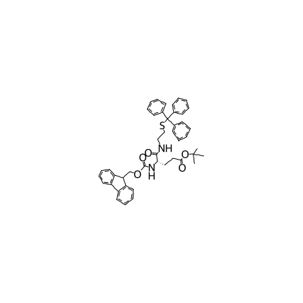 CC(C)(C)OC(=O)CC[C@H](NC(=O)OCC1c2ccccc2-c2ccccc21)C(=O)NCCSC(c1ccccc1)(c1ccccc1)c1ccccc1